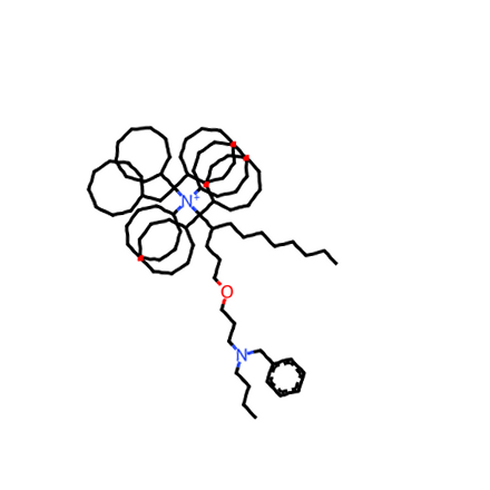 CCCCCCCCC(CCCOCCCN(CCCC)Cc1ccccc1)C(C1CCCCCCCC1)(C1CCCCCCCC1)[N+](C1CCCCCCCC1)(C1CCCCCCCC1)C(CC1CCCCCCCC1)(C1CCCCCCCC1)C1CCCCCCCC1